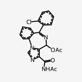 CC(=O)NC(=O)c1ncn2c1C(OC(C)=O)N=C(c1ccccc1Cl)c1ccccc1-2